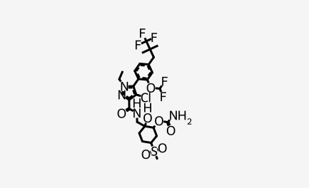 CCn1nc(C(=O)NCC2(O)CCC(S(C)(=O)=O)CC2OC(N)=O)c(Cl)c1-c1ccc(CC(C)(C)C(F)(F)F)cc1OC(F)F